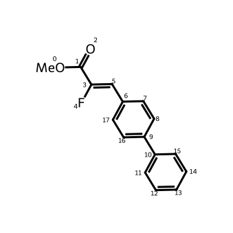 COC(=O)/C(F)=C/c1ccc(-c2ccccc2)cc1